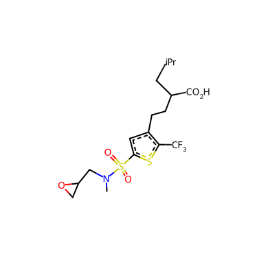 CC(C)CC(CCc1cc(S(=O)(=O)N(C)CC2CO2)sc1C(F)(F)F)C(=O)O